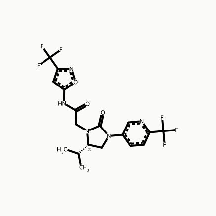 CC(C)[C@H]1CN(c2ccc(C(F)(F)F)nc2)C(=O)N1CC(=O)Nc1cc(C(F)(F)F)no1